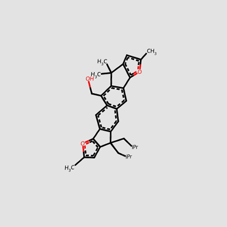 Cc1cc2c(o1)-c1cc3cc4c(cc3c(CO)c1C2(C)C)-c1oc(C)cc1C4(CC(C)C)CC(C)C